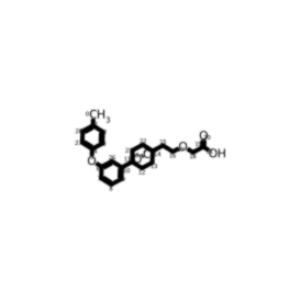 Cc1ccc(Oc2cccc(C34CCC(CCOCC(=O)O)(CC3)CO4)c2)cc1